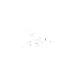 COc1ccc(CN(Cc2ccc(OC)cc2)S(=O)(=O)c2c(C(F)(F)F)ccc(C3=CCC(C#N)CC3)c2-c2nnn(Cc3ccc(OC)cc3)n2)cc1